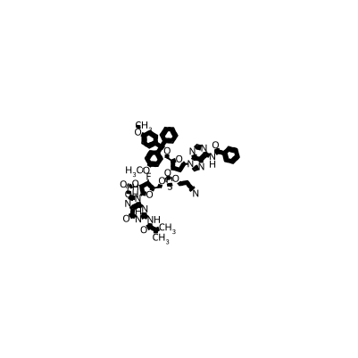 COc1ccc(C(OC[C@H]2O[C@@H](n3cnc4c(NC(=O)c5ccccc5)ncnc43)C[C@@H]2OP(=S)(OCCC#N)OC[C@H]2O[C@@H](n3cnc4c(=O)[nH]c(NC(=O)C(C)C)nc43)[C@H](O[PH](=O)O)[C@@H]2F)(c2ccccc2)c2ccc(OC)cc2)cc1